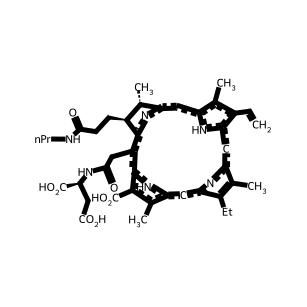 C=Cc1c(C)c2cc3nc(c(CC(=O)N[C@@H](CC(=O)O)C(=O)O)c4[nH]c(cc5nc(cc1[nH]2)C(C)=C5CC)c(C)c4C(=O)O)[C@@H](CCC(=O)NCCC)[C@@H]3C